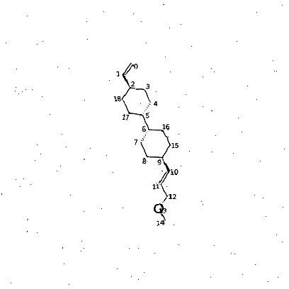 C=C[C@H]1CC[C@H]([C@H]2CC[C@H](C=CCOC)CC2)CC1